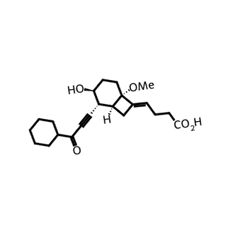 CO[C@@]12CC[C@H](O)[C@@H](C#CC(=O)C3CCCCC3)[C@@H]1CC2=CCCC(=O)O